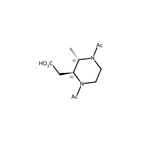 CC(=O)N1CCN(C(C)=O)[C@@H](CC(=O)O)[C@@H]1C